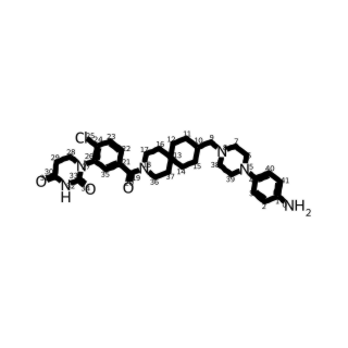 Nc1ccc(N2CCN(CC3CCC4(CC3)CCN(C(=O)c3ccc(Cl)c(N5CCC(=O)NC5=O)c3)CC4)CC2)cc1